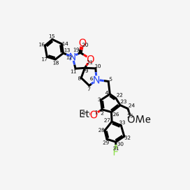 CCOc1cc(CN2CCC3(C2)CN(c2ccccc2)C(=O)O3)cc(COC)c1-c1ccc(F)cc1